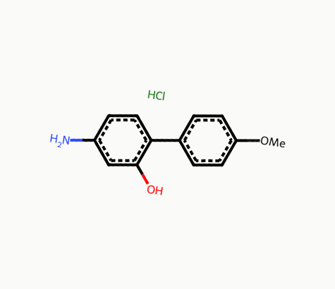 COc1ccc(-c2ccc(N)cc2O)cc1.Cl